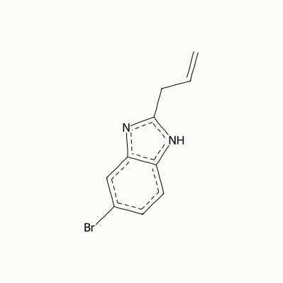 C=CCc1nc2cc(Br)ccc2[nH]1